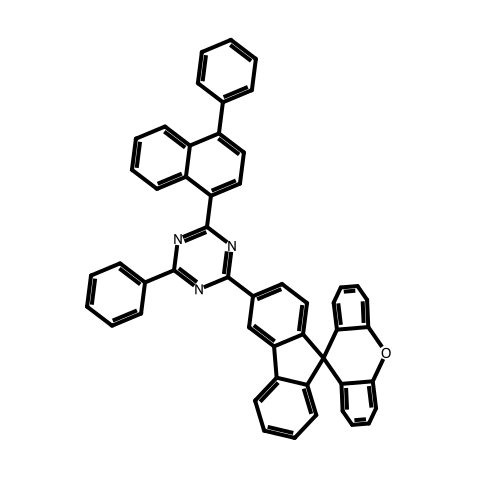 c1ccc(-c2nc(-c3ccc4c(c3)-c3ccccc3C43c4ccccc4Oc4ccccc43)nc(-c3ccc(-c4ccccc4)c4ccccc34)n2)cc1